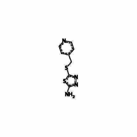 Nc1nnc(SCc2ccncc2)s1